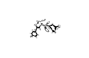 COCOC(CN(C)S(=O)(=O)c1csc(Cl)c1)c1ccc(F)cc1